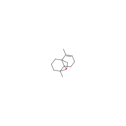 CC1=CCCC2(C)C3(C)CCCC12CC3